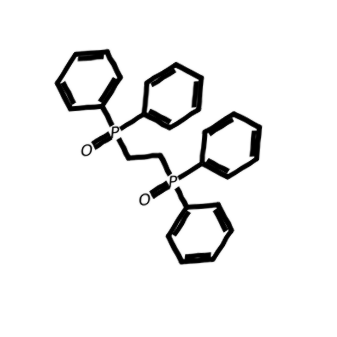 O=P(CCP(=O)(c1ccccc1)c1ccccc1)(c1ccccc1)c1ccccc1